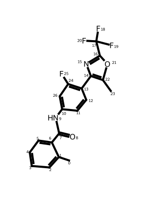 Cc1ccccc1C(=O)Nc1ccc(-c2nc(C(F)(F)F)oc2C)c(F)c1